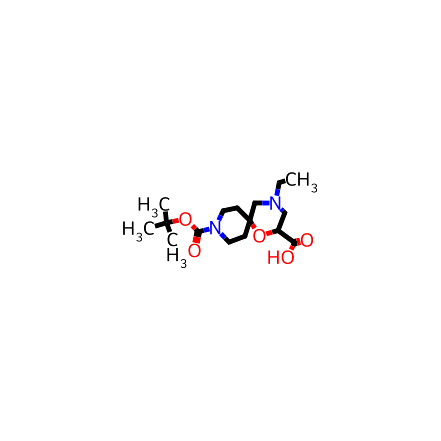 CCN1CC(C(=O)O)OC2(CCN(C(=O)OC(C)(C)C)CC2)C1